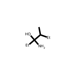 CCC(C)C(N)(O)CC